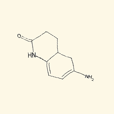 NC1=CC=C2NC(=O)CCC2C1